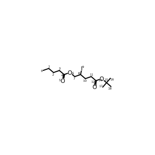 CCCCC(=O)OCC(I)CCC(=O)OC(C)(C)C